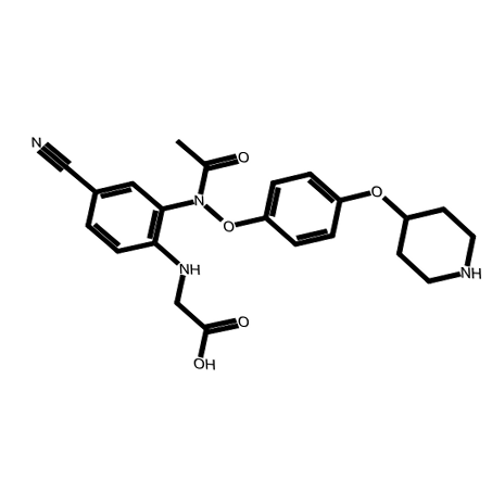 CC(=O)N(Oc1ccc(OC2CCNCC2)cc1)c1cc(C#N)ccc1NCC(=O)O